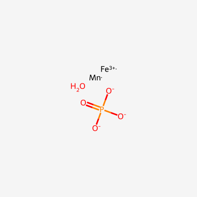 O.O=P([O-])([O-])[O-].[Fe+3].[Mn]